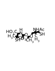 CC(=O)NC(C)(CS)COC(C)OC(=O)N[C@@H](C(=O)O)C(C)(C)S